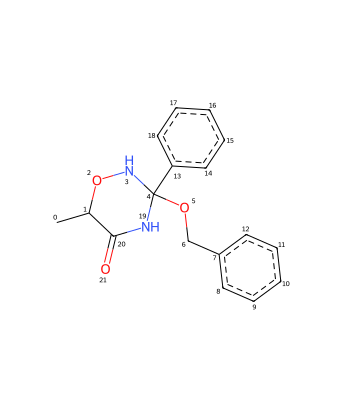 CC1ONC(OCc2ccccc2)(c2ccccc2)NC1=O